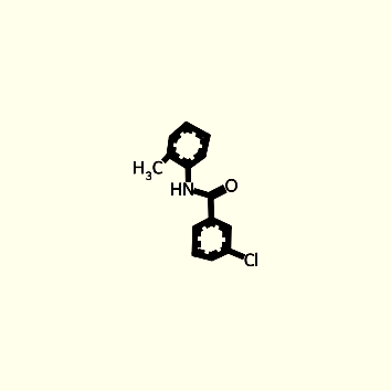 Cc1ccccc1NC(=O)c1cccc(Cl)c1